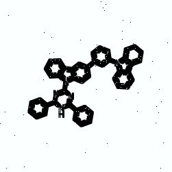 C1=c2c(n(-c3cccc(-c4ccc5c(c4)c4ccccc4n5C4=NC(c5ccccc5)NC(c5ccccc5)=N4)c3)c3ccccc23)=CCC1